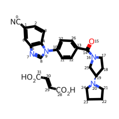 N#Cc1ccc2c(c1)ncn2-c1ccc(C(=O)N2CC[C@H](N3CCCC3)C2)cc1.O=C(O)/C=C/C(=O)O